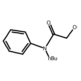 CCCCN(C(=O)C[O])c1ccccc1